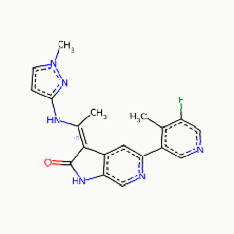 C/C(Nc1ccn(C)n1)=C1/C(=O)Nc2cnc(-c3cncc(F)c3C)cc21